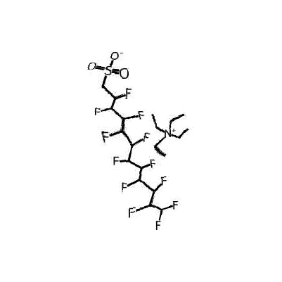 CC[N+](CC)(CC)CC.O=S(=O)([O-])CC(F)C(F)C(F)C(F)C(F)C(F)C(F)C(F)C(F)C(F)C(F)F